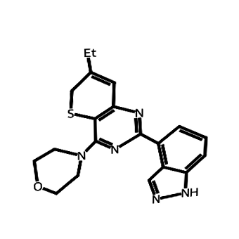 CCC1=Cc2nc(-c3cccc4[nH]ncc34)nc(N3CCOCC3)c2SC1